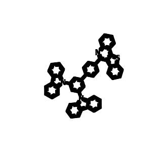 c1ccc2c(c1)nc(-c1ccc(-c3cc(-n4c5ccccc5c5ccccc54)cc(-n4c5ccccc5c5ccccc54)c3)cc1)c1c3ccccc3sc21